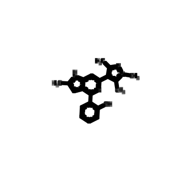 Cc1cc2c(-c3ccccc3O)nc(-c3c(C)nn(C)c3C)cc2[nH]1